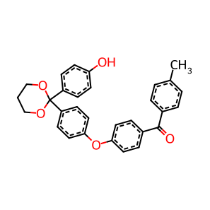 Cc1ccc(C(=O)c2ccc(Oc3ccc(C4(c5ccc(O)cc5)OCCCO4)cc3)cc2)cc1